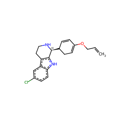 C=CCOC1=CCC([C@@H]2NCCc3c2[nH]c2ccc(Cl)cc32)C=C1